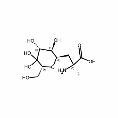 C[C@](N)(C[C@H]1O[C@H](CO)C(O)(O)[C@H](O)[C@H]1O)C(=O)O